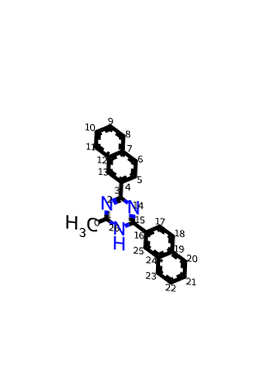 CC1N=C(c2ccc3ccccc3c2)N=C(c2ccc3ccccc3c2)N1